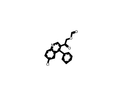 O=COCC(=O)c1cnc2ccc(Cl)cc2c1-c1ccccc1